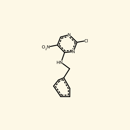 O=[N+]([O-])c1cnc(Cl)nc1NCc1ccccc1